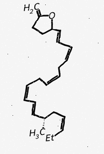 C=C1CC[C@H](/C=C/C=C\C/C=C\C/C=C\C=C\[C@@H](C)C/C=C\CC)O1